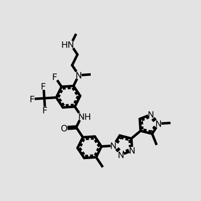 CNCCN(C)c1cc(NC(=O)c2ccc(C)c(-n3cc(-c4cnn(C)c4C)nn3)c2)cc(C(F)(F)F)c1F